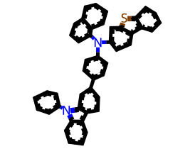 c1ccc(-n2c3ccccc3c3ccc(-c4ccc(N(c5ccc6c(c5)sc5ccccc56)c5cccc6ccccc56)cc4)cc32)cc1